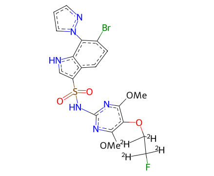 [2H]C([2H])(F)C([2H])([2H])Oc1c(OC)nc(NS(=O)(=O)c2c[nH]c3c(-n4cccn4)c(Br)ccc23)nc1OC